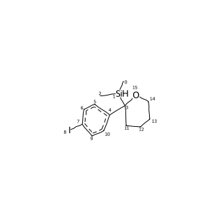 C[SiH](C)C1(c2ccc(I)cc2)CCCCO1